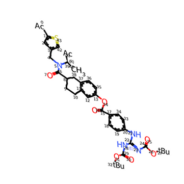 CC(=O)c1cc(CN(C(=O)C2CCc3cc(OC(=O)c4ccc(N/C(=N\C(=O)OC(C)(C)C)NC(=O)OC(C)(C)C)cc4)ccc3C2)[C@H](C)C(C)=O)cs1